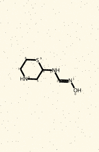 ON=CNC1CNCCS1